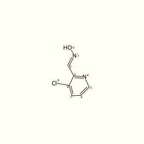 ON=Cc1ncccc1Cl